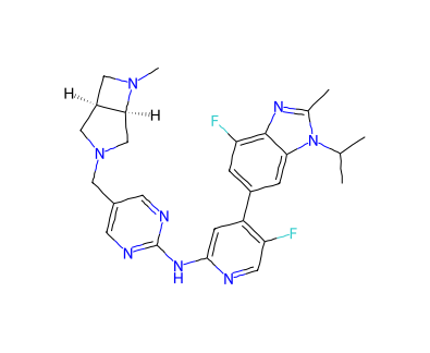 Cc1nc2c(F)cc(-c3cc(Nc4ncc(CN5C[C@H]6CN(C)[C@H]6C5)cn4)ncc3F)cc2n1C(C)C